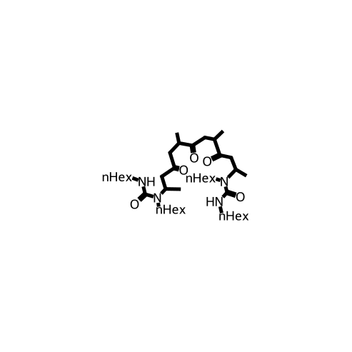 CCCCCCNC(=O)N(CCCCCC)C(C)CC(=O)CC(C)C(=O)CC(C)C(=O)CC(C)N(CCCCCC)C(=O)NCCCCCC